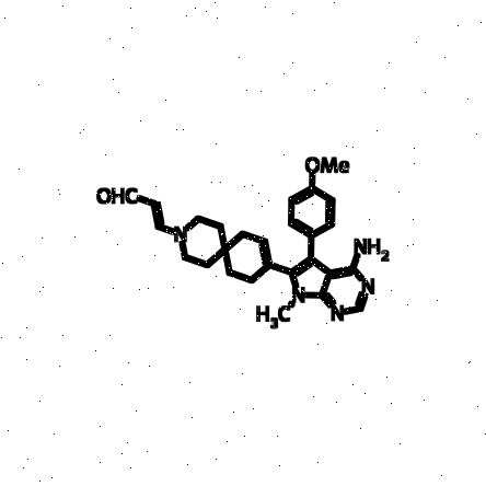 COc1ccc(-c2c(C3=CCC4(CC3)CCN(C=CC=O)CC4)n(C)c3ncnc(N)c23)cc1